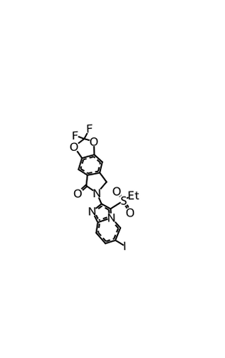 CCS(=O)(=O)c1c(N2Cc3cc4c(cc3C2=O)OC(F)(F)O4)nc2ccc(I)cn12